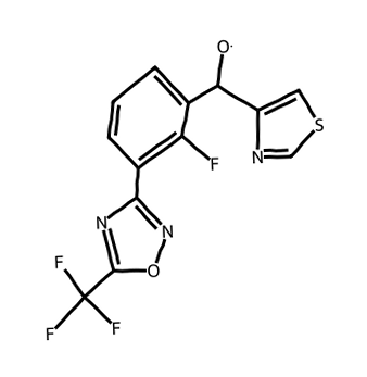 [O]C(c1cscn1)c1cccc(-c2noc(C(F)(F)F)n2)c1F